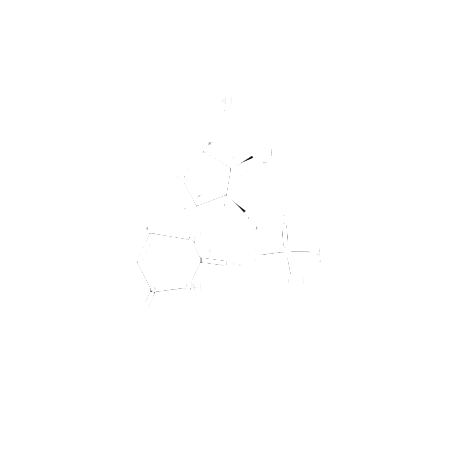 O=P(O)(O)S.O=c1ccn([C@@H]2O[C@H](CO)[C@@H](O)[C@H]2O)c(=O)[nH]1